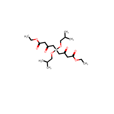 CCOC(=O)CC(=O)[CH2][Ti]([CH2]C(=O)CC(=O)OCC)([O]CC(C)C)[O]CC(C)C